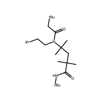 CCCCNC(=O)C(C)(C)CC(C)(C)N(CCC(C)C)C(=O)CC(C)(C)C